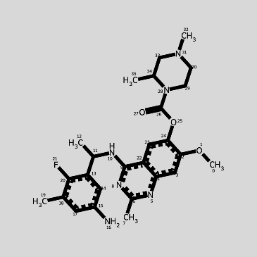 COc1cc2nc(C)nc(NC(C)c3cc(N)cc(C)c3F)c2cc1OC(=O)N1CCN(C)CC1C